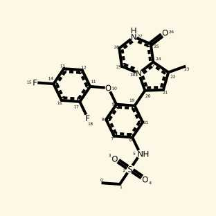 CCS(=O)(=O)Nc1ccc(Oc2ccc(F)cc2F)c(-c2cc(C)c3c(=O)[nH]ccn23)c1